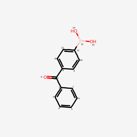 O=C(c1ccccc1)c1ccc(B(O)O)cc1